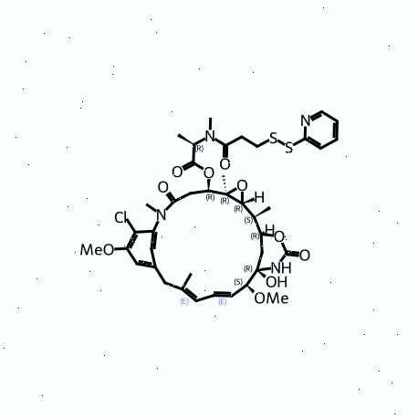 COc1cc2cc(c1Cl)N(C)C(=O)C[C@@H](OC(=O)[C@@H](C)N(C)C(=O)CCSSc1ccccn1)[C@@]1(C)O[C@@H]1[C@@H](C)[C@H]1C[C@](O)(NC(=O)O1)[C@@H](OC)/C=C/C=C(\C)C2